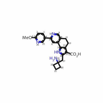 COc1ccc(-c2cc3c(cn2)CCc2c-3[nH]c(CC3(N)CCC3)c2C(=O)O)cn1